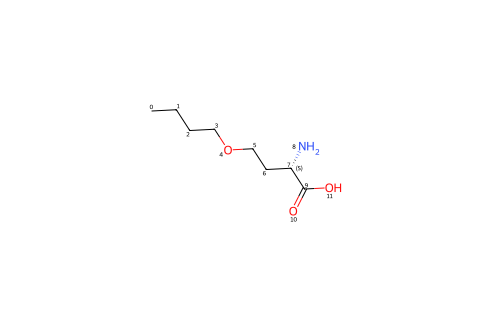 CCCCOCC[C@H](N)C(=O)O